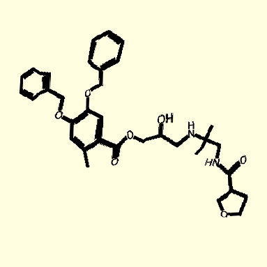 Cc1cc(OCc2ccccc2)c(OCc2ccccc2)cc1C(=O)OCC(O)CNC(C)(C)CNC(=O)C1CCOC1